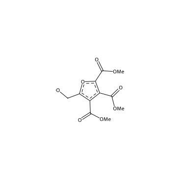 COC(=O)c1oc(C[O])c(C(=O)OC)c1C(=O)OC